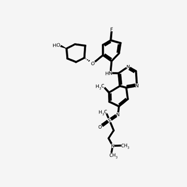 Cc1cc(N=S(C)(=O)CCN(C)C)cc2ncnc(Nc3ccc(F)cc3O[C@H]3CC[C@H](O)CC3)c12